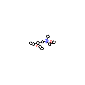 c1ccc(-c2nc(-c3ccc(-c4ccc(-c5ccc6ccccc6c5)c5oc6cc7ccccc7cc6c45)cc3)nc(-c3cccc4c3oc3ccccc34)n2)cc1